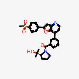 CC(C)(O)[C@@H]1CCCN1C(=O)c1cccc(-c2ccnc3cc(-c4ccc(S(C)(=O)=O)cc4)oc23)c1